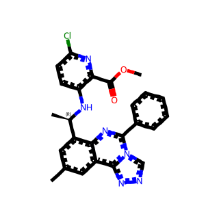 COC(=O)c1nc(Cl)ccc1N[C@H](C)c1cc(C)cc2c1nc(-c1ccccc1)n1cnnc21